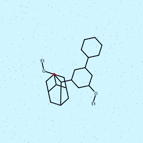 CCOCC1C2CC3CC1CC(C2)C3C1CC(OCC)CC(C2CCCCC2)C1